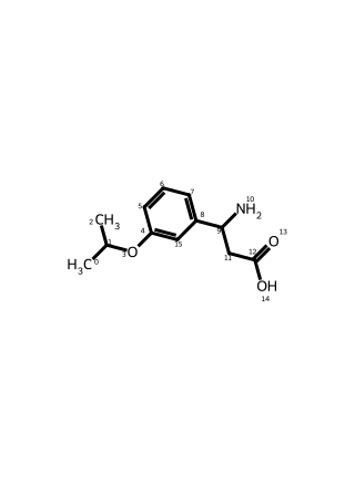 CC(C)Oc1cccc(C(N)CC(=O)O)c1